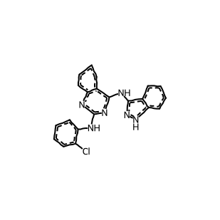 Clc1ccccc1Nc1nc(Nc2n[nH]c3ccccc23)c2ccccc2n1